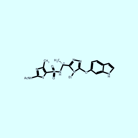 CCn1c(Oc2ccc3cc[nH]c3c2)nnc1[C@@H](C)NS(=O)(=O)c1sc(NC(C)=O)nc1C